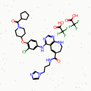 O=C(NCCCn1ccnc1)C1=Cc2c(ncnc2Nc2ccc(OC3CCN(C(=O)C4CCCC4)CC3)c(Cl)c2)NCC1.O=C(O)C(F)(F)F.O=C(O)C(F)(F)F